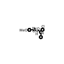 COc1ccc(-c2nnc(NC(=O)c3cc(-c4ccccc4)nc4ccc(Cl)cc34)o2)cc1